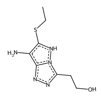 CCSc1[nH]n2c(CCO)nnc2c1N